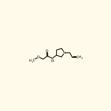 C=CCN1CCC(NC(=O)COC)C1